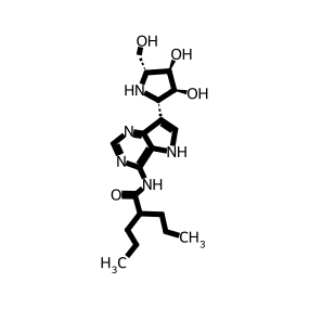 CCCC(CCC)C(=O)Nc1ncnc2c([C@@H]3N[C@H](CO)[C@@H](O)[C@H]3O)c[nH]c12